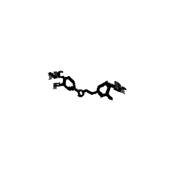 Cc1cc(CCOc2ccc(C#N)c(F)c2)ccc1Br